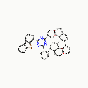 c1ccc(-c2nc(-c3ccccc3-c3ccc(-c4c(-c5ccccc5)ccc5ccccc45)c4ccccc34)nc(-c3cccc4c3sc3ccccc34)n2)cc1